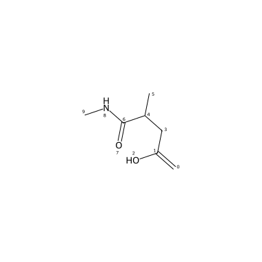 C=C(O)CC(C)C(=O)NC